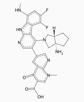 CNc1cc(F)c(F)c2c1[nH]c1ncc(-c3cnc4c(c3)c(=O)c(C(=O)O)cn4C)c(N3C[C@@H]4CCC[C@@]4(N)C3)c12